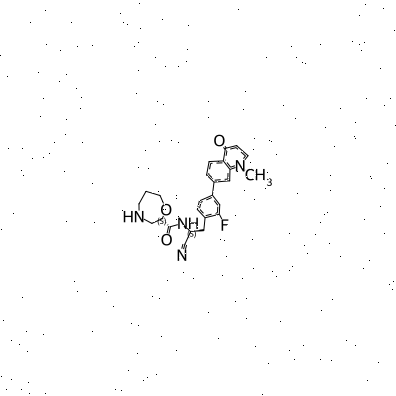 Cn1ccc(=O)c2ccc(-c3ccc(C[C@@H](C#N)NC(=O)[C@@H]4CNCCCO4)c(F)c3)cc21